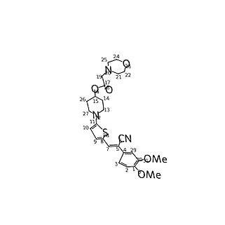 COc1ccc(/C(C#N)=C/c2ccc(N3CCC(OC(=O)CN4CCOCC4)CC3)s2)cc1OC